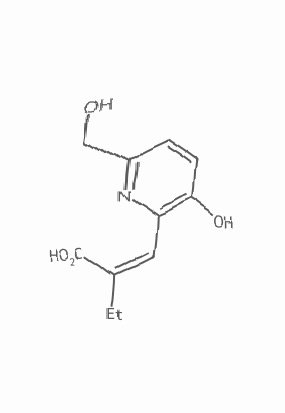 CCC(=Cc1nc(CO)ccc1O)C(=O)O